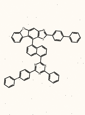 c1ccc(-c2ccc(-c3nc(-c4ccccc4)nc(-c4cccc5c(-c6c7sc(-c8ccc(-c9ccccc9)cc8)nc7cc7oc8ccccc8c67)cccc45)n3)cc2)cc1